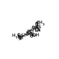 COc1ccc2nccc(C(O)CC[C@@H]3CCN(CCCSc4cccn4C)C[C@@H]3CC(=O)O)c2c1